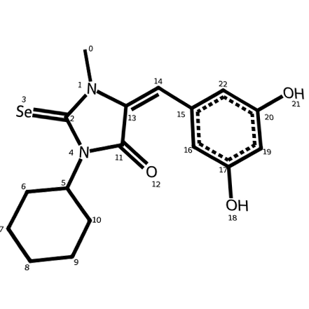 CN1C(=[Se])N(C2CCCCC2)C(=O)C1=Cc1cc(O)cc(O)c1